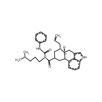 C=CCN1CC(C(=O)N(CCCN(C)C)C(=O)Nc2ccccc2)CC2c3cccc4[nH]cc(c34)C[C@H]21